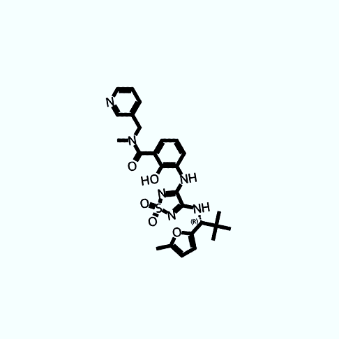 Cc1ccc([C@H](NC2=NS(=O)(=O)N=C2Nc2cccc(C(=O)N(C)Cc3cccnc3)c2O)C(C)(C)C)o1